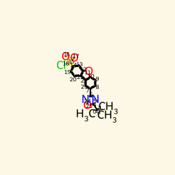 CC(C)(C)c1nc(-c2ccc3oc4cc(S(=O)(=O)Cl)ccc4c3c2)no1